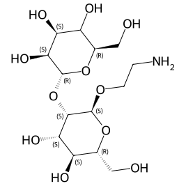 NCCO[C@H]1O[C@H](CO)[C@@H](O)[C@H](O)[C@@H]1O[C@H]1O[C@H](CO)C(O)[C@H](O)[C@@H]1O